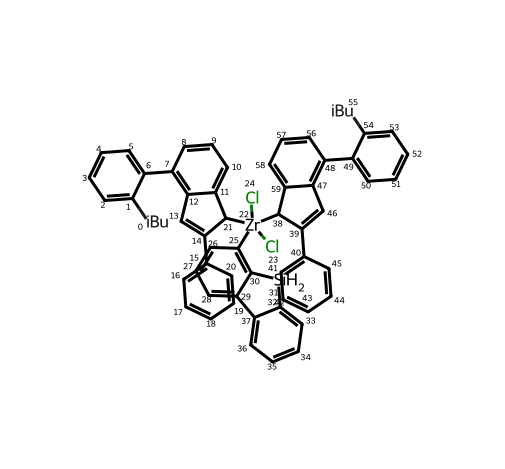 CCC(C)c1ccccc1-c1cccc2c1C=C(c1ccccc1)[CH]2[Zr]([Cl])([Cl])([c]1cccc2c1[SiH2]c1ccccc1-2)[CH]1C(c2ccccc2)=Cc2c(-c3ccccc3C(C)CC)cccc21